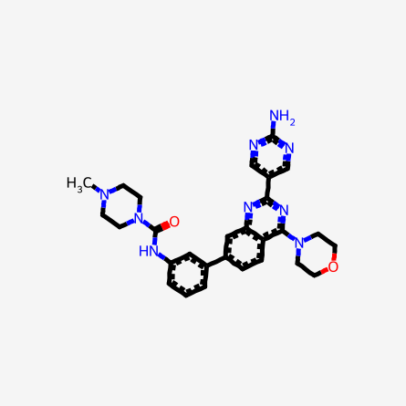 CN1CCN(C(=O)Nc2cccc(-c3ccc4c(N5CCOCC5)nc(-c5cnc(N)nc5)nc4c3)c2)CC1